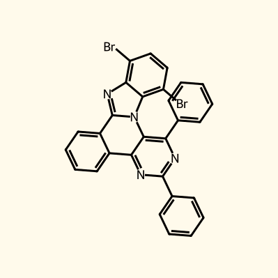 Brc1ccc(Br)c2c1nc1c3ccccc3c3nc(-c4ccccc4)nc(-c4ccccc4)c3n12